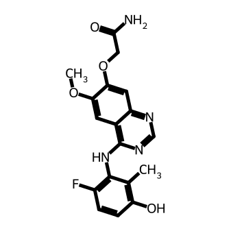 COc1cc2c(Nc3c(F)ccc(O)c3C)ncnc2cc1OCC(N)=O